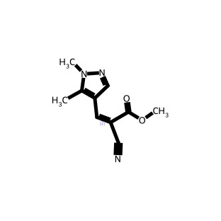 COC(=O)/C(C#N)=C\c1cnn(C)c1C